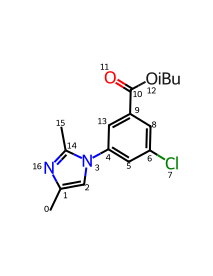 Cc1cn(-c2cc(Cl)cc(C(=O)OCC(C)C)c2)c(C)n1